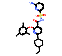 CCC1CCC(c2ccc(C(=O)NS(=O)(=O)c3cccc(N)n3)c(Oc3c(C)cc(C)cc3C)n2)CC1